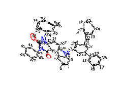 O=c1c2c3c4ccccc4n(-c4cc(-c5ccccc5)cc(-c5ccccc5)c4)c3ccc2n(-c2ccccc2)c(=O)n1-c1ccccc1